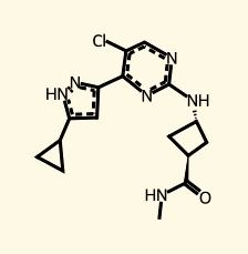 CNC(=O)[C@H]1C[C@H](Nc2ncc(Cl)c(-c3cc(C4CC4)[nH]n3)n2)C1